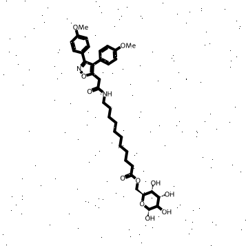 COc1ccc(-c2noc(CC(=O)NCCCCCCCCCCC(=O)OC[C@@H]3O[C@@H](O)C(O)[C@@H](O)[C@H]3O)c2-c2ccc(OC)cc2)cc1